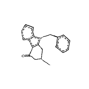 [CH2]C1CC(=O)c2c(n(Cc3ccccc3)c3ccccc23)C1